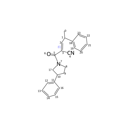 CC(/C=C(\C#N)C(=O)N1CCC(c2ccccc2)C1)c1ccccc1